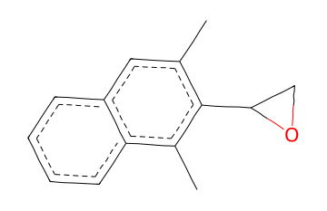 Cc1cc2ccccc2c(C)c1C1CO1